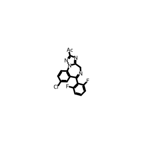 CC(=O)c1nc2n(n1)-c1ccc(Cl)cc1C(c1c(F)cccc1F)=NC2